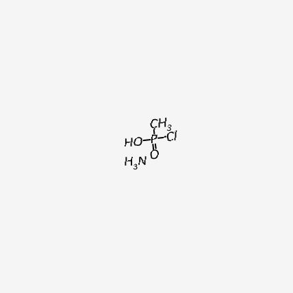 CP(=O)(O)Cl.N